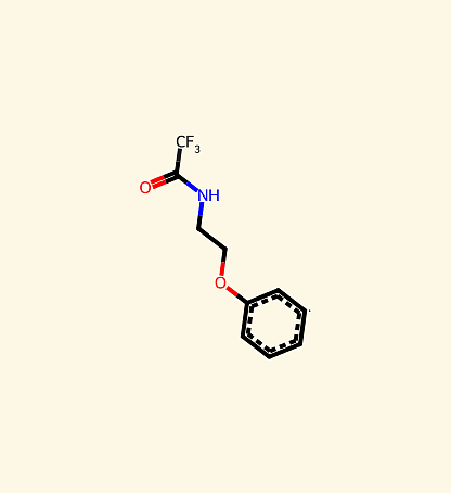 O=C(NCCOc1c[c]ccc1)C(F)(F)F